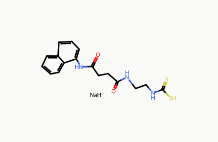 O=C(CCC(=O)Nc1cccc2ccccc12)NCCNC(=S)S.[NaH]